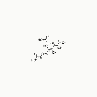 O=C[C@H](O)[C@@H](OCC(=O)O)[C@H](O)[C@H](O)COCC(=O)O